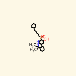 CCC1(CC)Nc2cc([S+]([O-])CCCCCC3CCCCC3)c(O)cc2C2=C1CCCC2